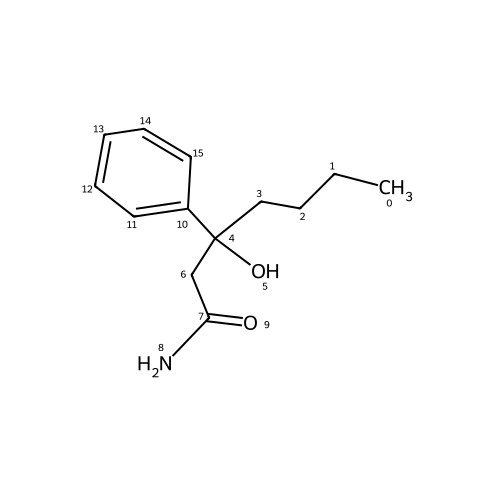 CCCCC(O)(CC(N)=O)c1ccccc1